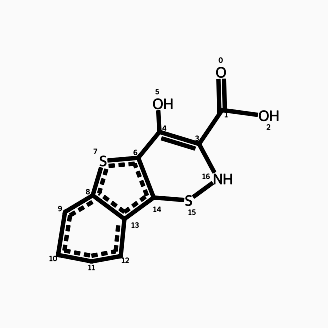 O=C(O)C1=C(O)c2sc3ccccc3c2SN1